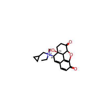 CC[N+](C)(CC1CC1)[C@@H]1C=C2C=CC(=O)C3=C2C2C(O3)C(=O)CC[C@]21O